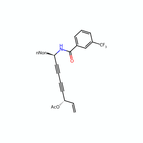 C=C[C@@H](C#CC#C[C@@H](CCCCCCCCC)NC(=O)c1cccc(C(F)(F)F)c1)OC(C)=O